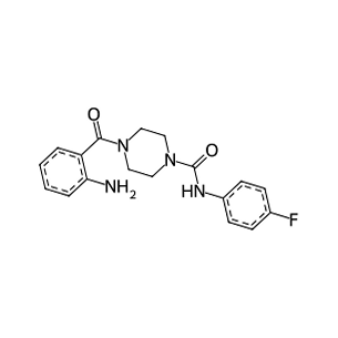 Nc1ccccc1C(=O)N1CCN(C(=O)Nc2ccc(F)cc2)CC1